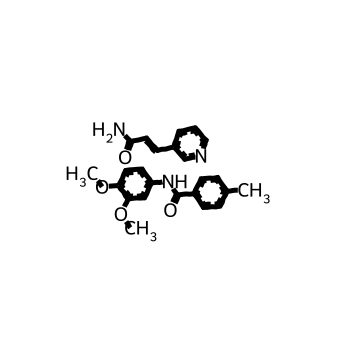 COc1ccc(NC(=O)c2ccc(C)cc2)cc1OC.NC(=O)C=Cc1cccnc1